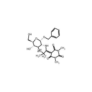 CCCC(C)(C)C(N[C@H]1[C@@H](OCc2ccccc2)O[C@H](CO)[C@@H](O)[C@@H]1O)=C1C(=O)N(C)C(=O)N(C)C1=O